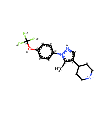 Cc1c(C2CCNCC2)cnn1-c1ccc(OC(F)(F)F)cc1